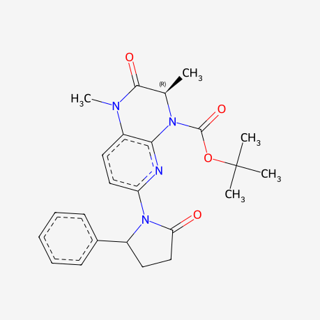 C[C@@H]1C(=O)N(C)c2ccc(N3C(=O)CCC3c3ccccc3)nc2N1C(=O)OC(C)(C)C